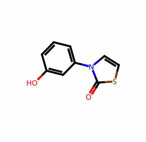 O=c1sccn1-c1cccc(O)c1